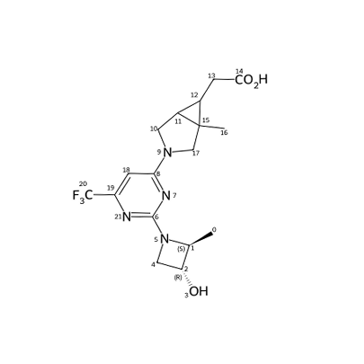 C[C@H]1[C@H](O)CN1c1nc(N2CC3C(CC(=O)O)C3(C)C2)cc(C(F)(F)F)n1